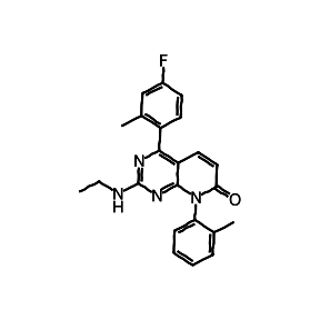 CCNc1nc(-c2ccc(F)cc2C)c2ccc(=O)n(-c3ccccc3C)c2n1